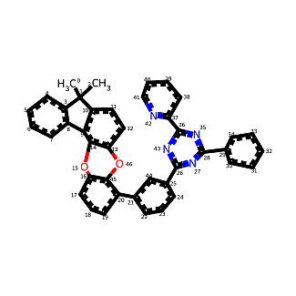 CC1(C)c2ccccc2-c2c1ccc1c2Oc2cccc(-c3cccc(-c4nc(-c5ccccc5)nc(-c5ccccn5)n4)c3)c2O1